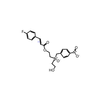 O=C(/C=C/c1ccc(F)cc1)OCC[N@@+]([O-])(CCO)Cc1ccc([N+](=O)[O-])cc1